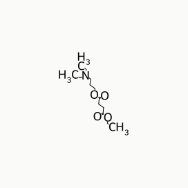 CCOC(=O)CCC(=O)OCCCN(CC)CC